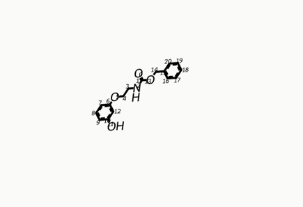 O=C(NCCOc1cccc(O)c1)OCc1ccccc1